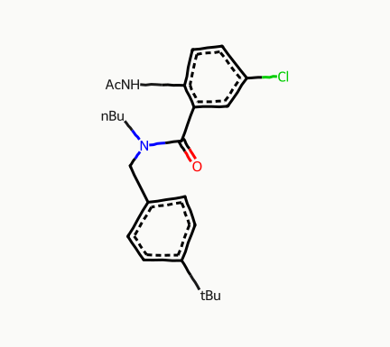 CCCCN(Cc1ccc(C(C)(C)C)cc1)C(=O)c1cc(Cl)ccc1NC(C)=O